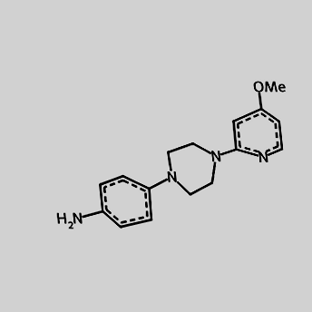 COc1ccnc(N2CCN(c3ccc(N)cc3)CC2)c1